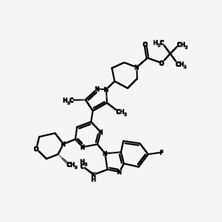 CNc1nc2cc(F)ccc2n1-c1nc(-c2c(C)nn(C3CCN(C(=O)OC(C)(C)C)CC3)c2C)cc(N2CCOC[C@H]2C)n1